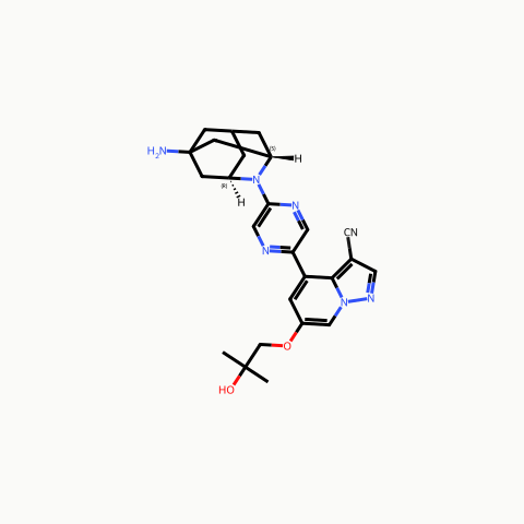 CC(C)(O)COc1cc(-c2cnc(N3[C@@H]4CC5C[C@H]3CC(N)(C5)C4)cn2)c2c(C#N)cnn2c1